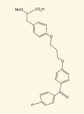 COC(Cc1ccc(OCCCOc2ccc(C(=O)c3ccc(F)cc3)cc2)cc1)C(=O)O